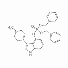 CN1CC=C(c2c[nH]c3cccc(OP(=O)(OCc4ccccc4)OCc4ccccc4)c23)CC1